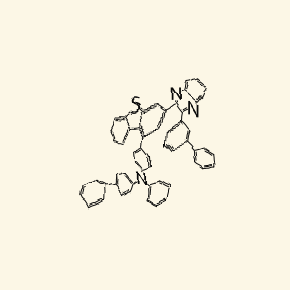 c1ccc(-c2ccc(N(c3ccccc3)c3ccc(-c4cc(-c5nc6ccccc6nc5-c5cccc(-c6ccccc6)c5)cc5sc6ccccc6c45)cc3)cc2)cc1